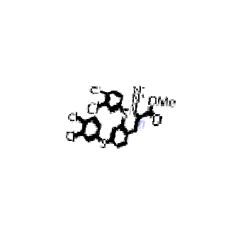 COC(=O)/C(=C/c1ccc(Sc2ccc(Cl)c(Cl)c2)cc1Sc1ccc(Cl)c(Cl)c1)N=[N+]=[N-]